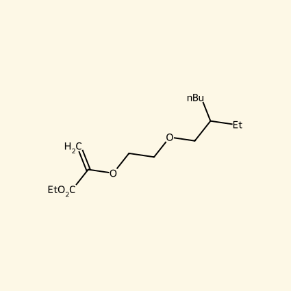 C=C(OCCOCC(CC)CCCC)C(=O)OCC